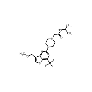 COCc1csc2c(C(F)(F)F)cc(N3CCN(CC(=O)NC(C)C)CC3)nc12